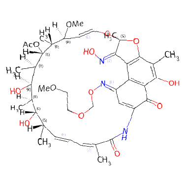 COCCOCO/N=C1\C=C2NC(=O)/C(C)=C\C=C\[C@H](C)[C@H](O)[C@@H](C)[C@@H](O)[C@@H](C)[C@H](OC(C)=O)[C@H](C)[C@@H](OC)/C=C/O[C@@]3(C)Oc4c(C)c(O)c(c1c4/C3=N/O)C2=O